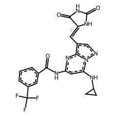 O=C1NC(=O)/C(=C/c2cnn3c(NC4CC4)cc(NC(=O)c4cccc(C(F)(F)F)c4)nc23)N1